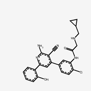 N#Cc1c(-c2ccc(Cl)c(NC(=O)CNCC3CC3)c2)cc(-c2ccccc2O)nc1N